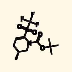 C[C@H]1CC=C(S(=O)(=O)C(F)(F)F)N(C(=O)OC(C)(C)C)C1